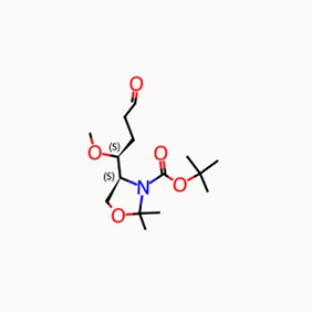 CO[C@@H](CCC=O)[C@@H]1COC(C)(C)N1C(=O)OC(C)(C)C